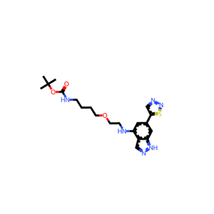 CC(C)(C)OC(=O)NCCCCOCCNc1cc(-c2cnns2)cc2[nH]ncc12